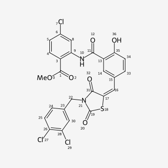 COC(=O)c1ccc(Cl)cc1NC(=O)c1cc(C=C2SC(=O)N(Cc3ccc(Cl)c(Cl)c3)C2=O)ccc1O